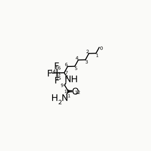 CCCCCCCC(NCC(N)=O)C(F)(F)F